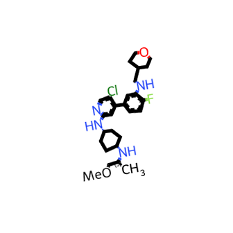 COC[C@H](C)N[C@H]1CC[C@H](Nc2cc(-c3ccc(F)c(NCC4CCOCC4)c3)c(Cl)cn2)CC1